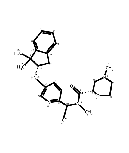 CN1CCO[C@H](C(=O)N(C)C(c2ccc(N[C@H]3Cc4ccccc4C3(C)C)cn2)C(F)(F)F)C1